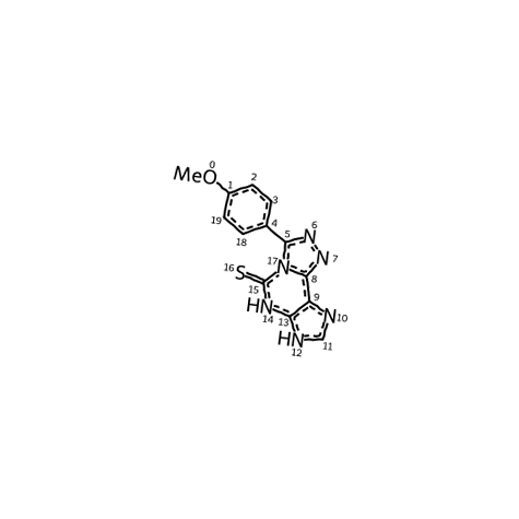 COc1ccc(-c2nnc3c4nc[nH]c4[nH]c(=S)n23)cc1